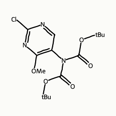 COc1nc(Cl)ncc1N(C(=O)OC(C)(C)C)C(=O)OC(C)(C)C